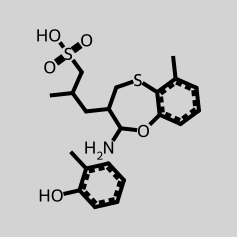 Cc1cccc2c1SCC(CC(C)CS(=O)(=O)O)C(N)O2.Cc1ccccc1O